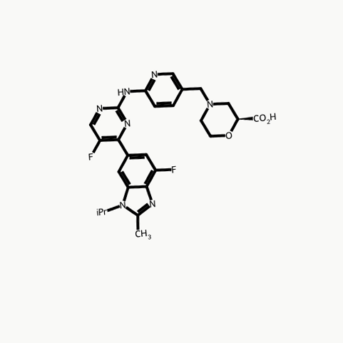 Cc1nc2c(F)cc(-c3nc(Nc4ccc(CN5CCO[C@H](C(=O)O)C5)cn4)ncc3F)cc2n1C(C)C